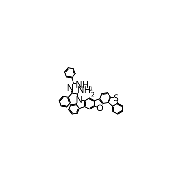 NC(/N=C(/c1ccccc1)[C@H](N)n1c2ccccc2c2cc3oc4c(ccc5sc6ccccc6c54)c3cc21)c1ccccc1